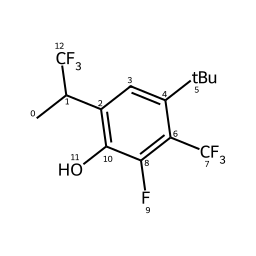 CC(c1cc(C(C)(C)C)c(C(F)(F)F)c(F)c1O)C(F)(F)F